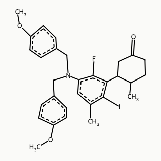 COc1ccc(CN(Cc2ccc(OC)cc2)c2cc(C)c(I)c(C3CC(=O)CCC3C)c2F)cc1